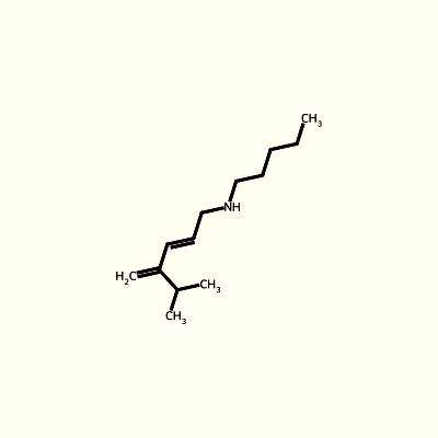 C=C(/C=C/CNCCCCC)C(C)C